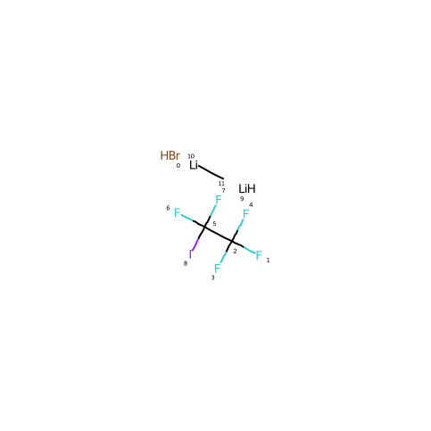 Br.FC(F)(F)C(F)(F)I.[LiH].[Li][CH3]